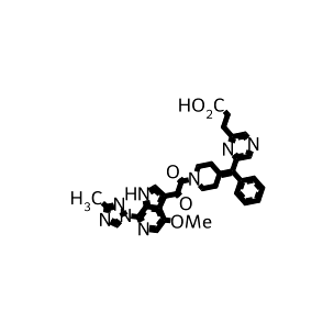 COc1cnc(-n2cnc(C)n2)c2[nH]cc(C(=O)C(=O)N3CCC(=C(c4ccccc4)c4cncc(CCC(=O)O)n4)CC3)c12